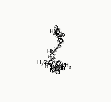 COc1cc(N2CCC(NCCCCSc3ccc4c(c3)CN(C3CCC(=O)NC3=O)C4=O)CC2)ccc1Nc1ncc(Cl)c(Nc2ccccc2P(C)(C)=O)n1